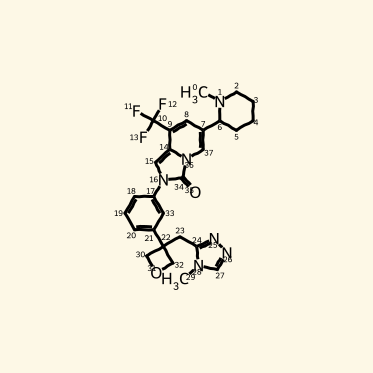 CN1CCCCC1c1cc(C(F)(F)F)c2cn(-c3cccc(C4(Cc5nncn5C)COC4)c3)c(=O)n2c1